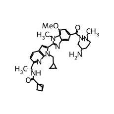 COc1cc(C(=O)N2C[C@H](N)CCN2C)cc2nc(-c3cc4ccc([C@@H](C)NC(=O)C56CC(C5)C6)nc4n3CC3CC3)n(C)c12